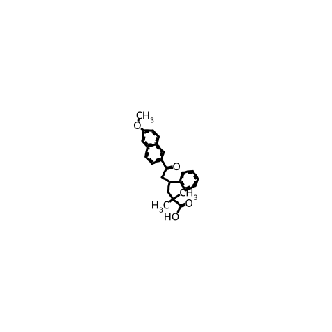 COc1ccc2cc(C(=O)CC(CC(C)(C)C(=O)O)c3ccccc3)ccc2c1